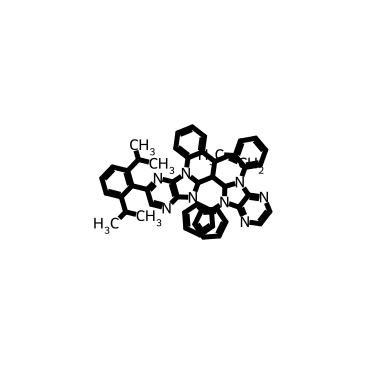 C=CC1c2ccccc2N2c3nc(-c4c(C(C)C)cccc4C(C)C)cnc3N(c3ccccc3)C2C1C1N(c2ccccc2)c2nccnc2N1c1ccccc1C